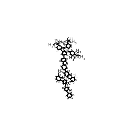 Cc1ccccc1N1c2cc(-c3ccc4c(c3)sc3ccccc34)cc3c2B(c2cc(-c4ccc5c(c4)sc4cc(-c6cc7c8c(c6)N(c6ccc(C(C)(C)C)cc6)c6ccc(C(C)(C)C)cc6B8c6cc(C(C)(C)C)ccc6-7)ccc45)cc(C)c21)c1c(C)cccc1-3